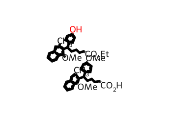 CCOC(=O)CCCCC(c1ccc(O)cc1)c1c(C)cc2ccccc2c1OC.COc1ccc(C(CCCCC(=O)O)c2c(C)cc3ccccc3c2OC)cc1